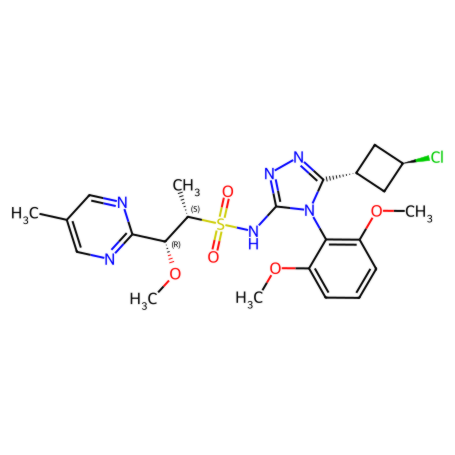 COc1cccc(OC)c1-n1c(NS(=O)(=O)[C@@H](C)[C@H](OC)c2ncc(C)cn2)nnc1[C@H]1C[C@H](Cl)C1